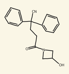 N#CC(CCC(=O)N1CC(O)C1)(c1ccccc1)c1ccccc1